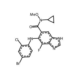 CON(C(=O)c1cc2[nH]cnc2c(F)c1Nc1ccc(Br)cc1Cl)C1CC1